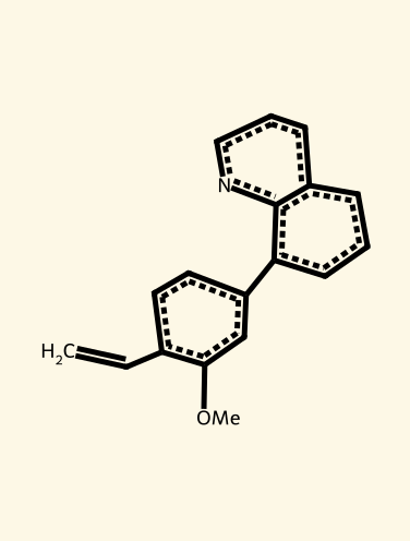 C=Cc1ccc(-c2cccc3cccnc23)cc1OC